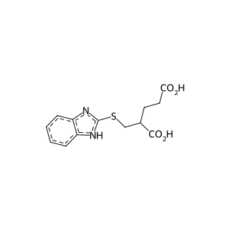 O=C(O)CCC(CSc1nc2ccccc2[nH]1)C(=O)O